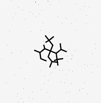 CCC(C)[C](C)C(CC(C)C)(CC(C)(C)C)C(C(C)C)C(C)(C)C